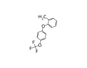 [CH2]c1ccccc1Oc1ccc(OC(F)(F)F)cc1